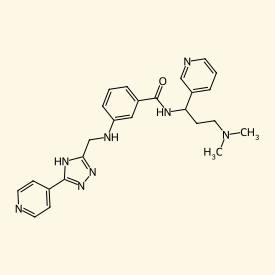 CN(C)CCC(NC(=O)c1cccc(NCc2nnc(-c3ccncc3)[nH]2)c1)c1cccnc1